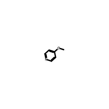 COc1c[c]ncc1